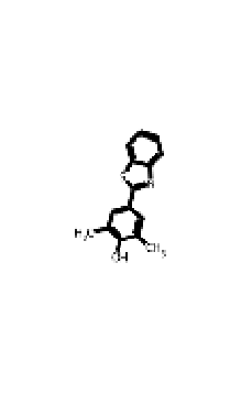 Cc1cc(-c2nc3ccccc3s2)cc(C)c1O